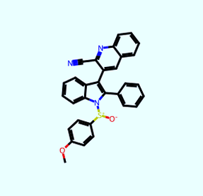 COc1ccc([S+]([O-])n2c(-c3ccccc3)c(-c3cc4ccccc4nc3C#N)c3ccccc32)cc1